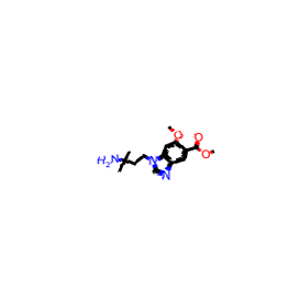 COC(=O)c1cc2ncn(CCC(C)(C)N)c2cc1OC